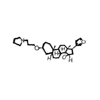 C[C@]12CC[C@H](OCCCN3CCCC3)C[C@H]1CC[C@@H]1[C@@H]2CC[C@]2(C)[C@@H](c3ccoc3)C[C@@H]3O[C@]312